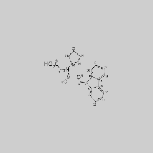 O=C(O)CN(C(=O)OCC1c2ccccc2-c2ccccc21)C1CCCC1